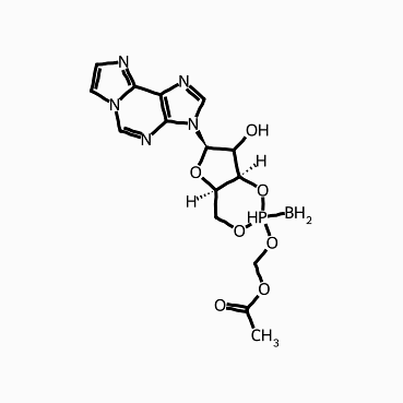 B[PH]1(OCOC(C)=O)OC[C@H]2O[C@@H](n3cnc4c3ncn3ccnc43)C(O)[C@H]2O1